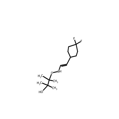 CC(C)(O)C(C)(C)OB/C=C/C1CCC(F)(F)CC1